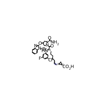 CC(C)n1c(O[C@@H]2C[C@@H](C(N)=O)N(C(=O)[C@H](CCCCC/C=C\[C@@H]3C[C@@H]3C(=O)O)Nc3cc(F)cc(C(F)(F)F)c3)C2)nc2ccccc21